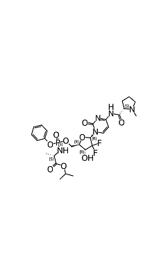 CC(C)OC(=O)[C@H](C)N[P@](=O)(OC[C@H]1O[C@@H](n2ccc(NC(=O)[C@@H]3CCCN3C)nc2=O)C(F)(F)[C@@H]1O)Oc1ccccc1